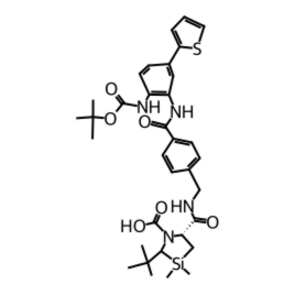 CC(C)(C)OC(=O)Nc1ccc(-c2cccs2)cc1NC(=O)c1ccc(CNC(=O)[C@@H]2C[Si](C)(C)C(C(C)(C)C)N2C(=O)O)cc1